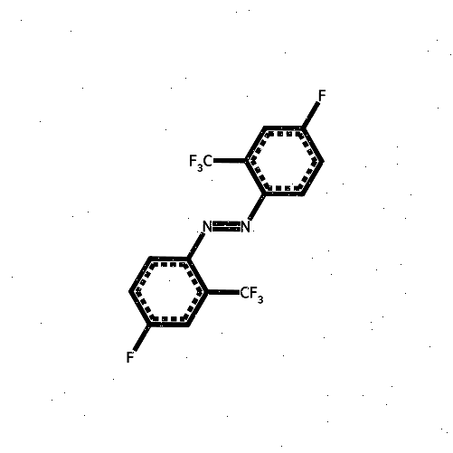 Fc1ccc(N=Nc2ccc(F)cc2C(F)(F)F)c(C(F)(F)F)c1